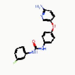 Nc1ccc(Oc2ccc(NC(=O)Nc3cccc(F)c3)cc2)cn1